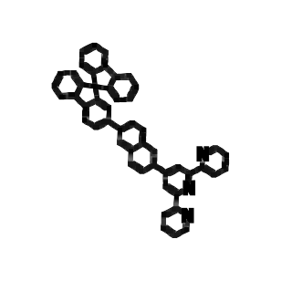 c1ccc(-c2cc(-c3ccc4cc(-c5ccc6c(c5)C5(c7ccccc7-c7ccccc75)c5ccccc5-6)ccc4c3)cc(-c3ccccn3)n2)nc1